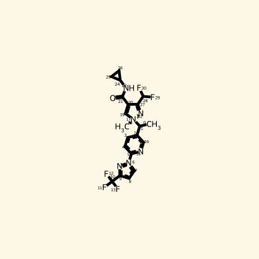 CC(c1ccc(-n2ccc(C(F)(F)F)n2)nc1)[N+]1(C)C=C(C(=O)NC2CC2)C(C(F)F)=N1